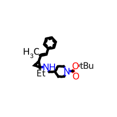 CCC1(NCC2CCN(C(=O)OC(C)(C)C)CC2)CC1C(C)=Cc1ccccc1